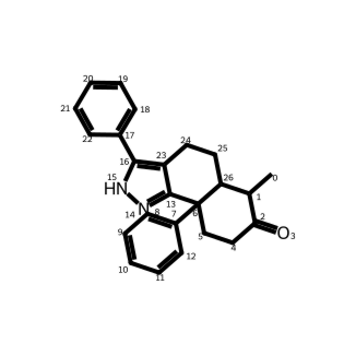 CC1C(=O)CCC2(c3ccccc3)c3n[nH]c(-c4ccccc4)c3CCC12